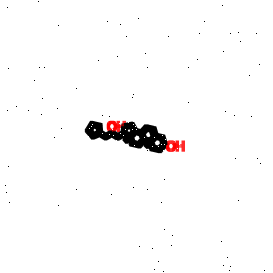 CC12CCC(O)CC1=CCC1C2CCC2(C)C(CC(O)CC3CCCC3)CCC12